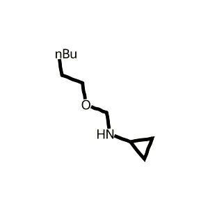 CCCCCCOCNC1CC1